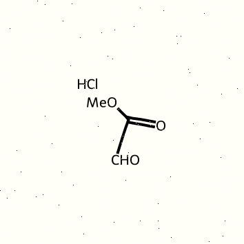 COC(=O)C=O.Cl